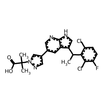 CC(c1c(Cl)ccc(F)c1Cl)c1c[nH]c2ncc(-c3cnn(C(C)(C)C(=O)O)c3)cc12